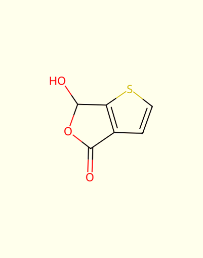 O=C1OC(O)c2sccc21